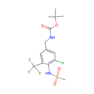 CC(C)(C)OC(=O)NCc1cc(F)c(NS(C)(=O)=O)c(C(F)(F)F)c1